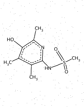 Cc1nc(NS(C)(=O)=O)c(C)c(C)c1O